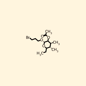 CCC1O[C@H](OCCCBr)C(OC(C)=O)[C@@H](C)[C@@H]1C